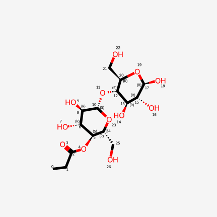 CCC(=O)O[C@H]1[C@H](O)[C@@H](O)[C@H](O[C@H]2[C@H](O)[C@@H](O)[C@H](O)O[C@@H]2CO)O[C@@H]1CO